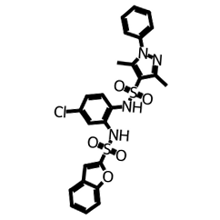 Cc1nn(-c2ccccc2)c(C)c1S(=O)(=O)Nc1ccc(Cl)cc1NS(=O)(=O)c1cc2ccccc2o1